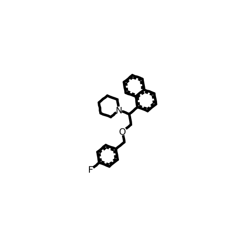 Fc1ccc(COCC(c2cccc3ccccc23)N2CCCCC2)cc1